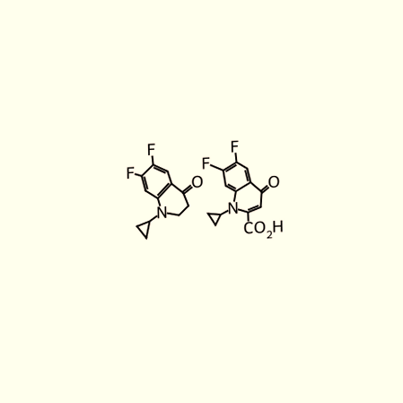 O=C(O)c1cc(=O)c2cc(F)c(F)cc2n1C1CC1.O=C1CCN(C2CC2)c2cc(F)c(F)cc21